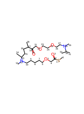 CSC(=O)COCCCCCN(C)C(C)CCC(C)C(=O)COCCOCCN(C)C(C)C